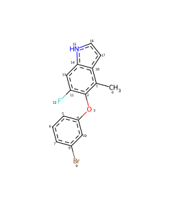 Cc1c(Oc2cccc(Br)c2)c(F)cc2[nH]ccc12